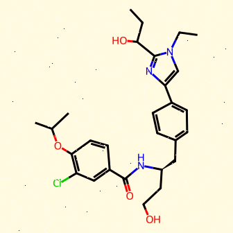 CCC(O)c1nc(-c2ccc(C[C@@H](CCO)NC(=O)c3ccc(OC(C)C)c(Cl)c3)cc2)cn1CC